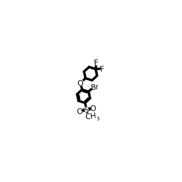 CS(=O)(=O)c1ccc(OC2CCC(F)(F)CC2)c(Br)c1